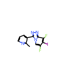 Cc1ncccc1-c1nnc2c(F)c(I)c(F)cn12